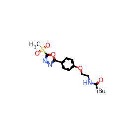 CCC(C)C(=O)NCCOc1ccc(-c2nnc(S(C)(=O)=O)o2)cc1